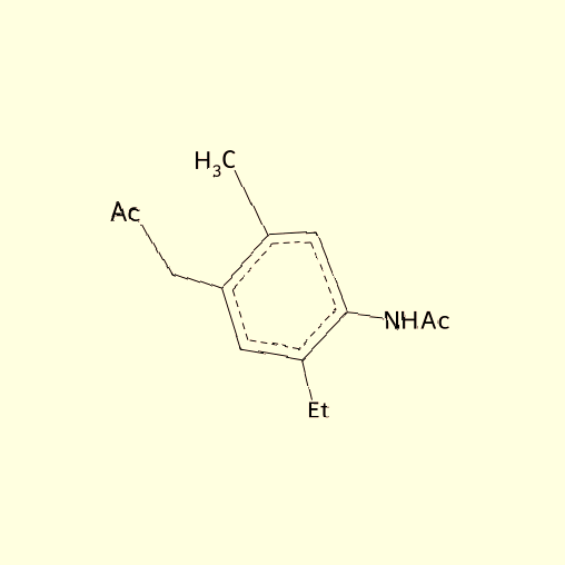 CCc1cc(CC(C)=O)c(C)cc1NC(C)=O